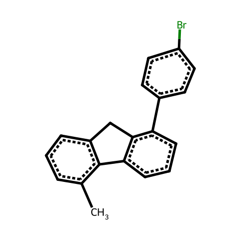 Cc1cccc2c1-c1cccc(-c3ccc(Br)cc3)c1C2